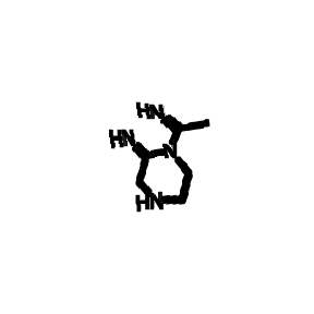 CC(=N)N1CCNCC1=N